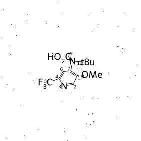 COc1cnc(C(F)(F)F)cc1N(C(=O)O)C(C)(C)C